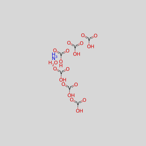 N.O.[O]=[V](=[O])[OH].[O]=[V](=[O])[OH].[O]=[V](=[O])[OH].[O]=[V](=[O])[OH].[O]=[V](=[O])[OH].[O]=[V](=[O])[OH]